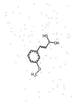 COc1cccc(/C=C/B(O)O)c1